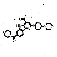 NC(=O)c1cc(N2CCC(N3CCOCC3)CC2)nc2c1[nH]c1cc(C(=O)N3CCOCC3)ccc12